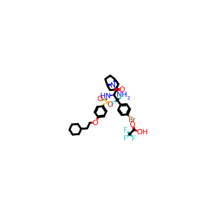 NC1CC2CCC(C1)N2C(=O)[C@H](NS(=O)(=O)c1ccc(OCCC2CCCCC2)cc1)C(F)(F)c1ccc(Br)cc1.O=C(O)C(F)(F)F